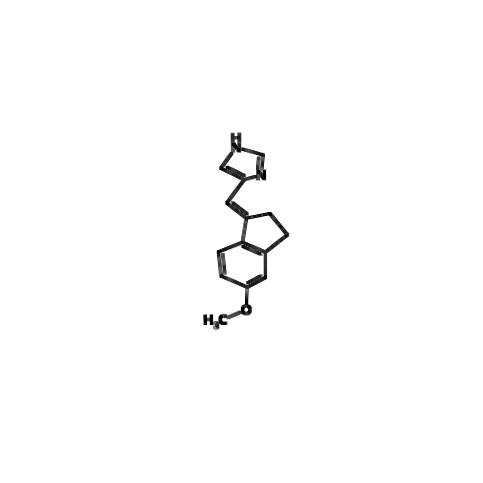 COc1ccc2c(c1)CC/C2=C\c1c[nH]cn1